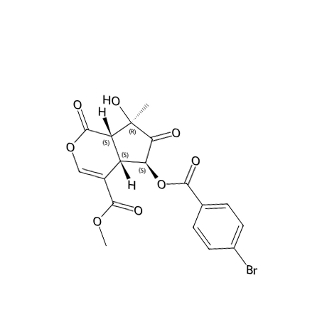 COC(=O)C1=COC(=O)[C@H]2[C@@H]1[C@H](OC(=O)c1ccc(Br)cc1)C(=O)[C@]2(C)O